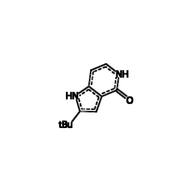 CC(C)(C)c1cc2c(=O)[nH]ccc2[nH]1